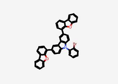 Brc1ccccc1-n1c2ccc(-c3cccc4c3oc3ccccc34)cc2c2cc(-c3cccc4c3oc3ccccc34)ccc21